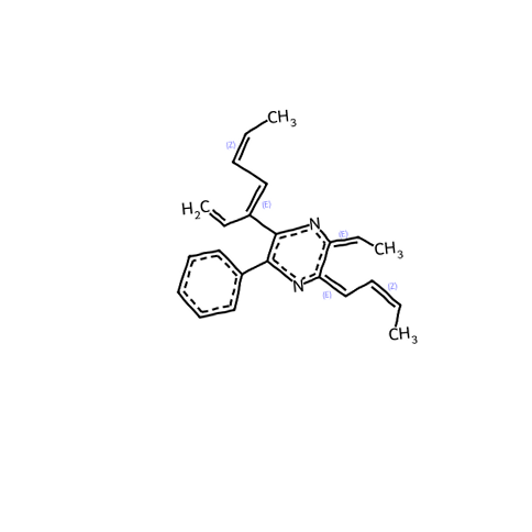 C=C/C(=C\C=C/C)c1nc(=C/C)/c(=C\C=C/C)nc1-c1ccccc1